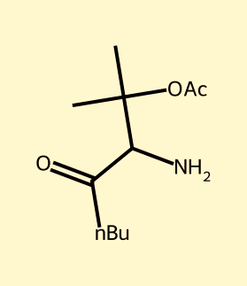 CCCCC(=O)C(N)C(C)(C)OC(C)=O